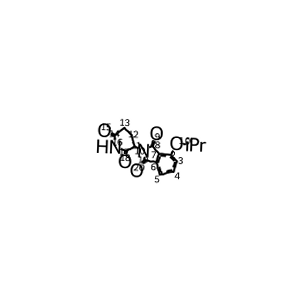 CC(C)Oc1cccc2c1C(=O)N(C1CCC(=O)NC1=O)C2=O